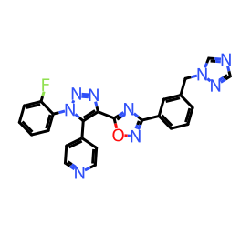 Fc1ccccc1-n1nnc(-c2nc(-c3cccc(Cn4cncn4)c3)no2)c1-c1ccncc1